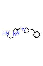 c1ccc(CC2CCN(Cc3cc4n(n3)CCCNC4)C2)cc1